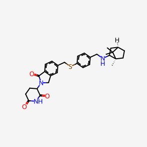 CC1(C)[C@@H]2CC[C@@]1(C)C(NCc1ccc(SCc3ccc4c(c3)CN(C3CCC(=O)NC3=O)C4=O)cc1)C2